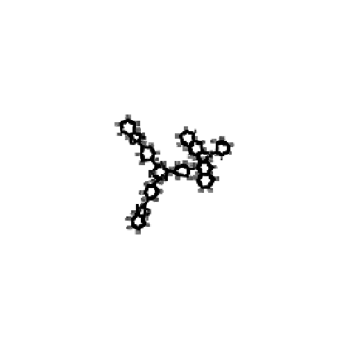 c1ccc(-n2c3cc4ccccc4cc3c3c(-c4ccc(-c5nc(-c6ccc(-c7nc8ccccc8o7)cc6)nc(-c6ccc(-c7nc8ccccc8o7)cc6)n5)cc4)c4ccccc4cc32)cc1